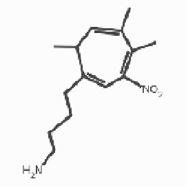 CC1=CC(C)C(CCCCN)=CC([N+](=O)[O-])=C1C